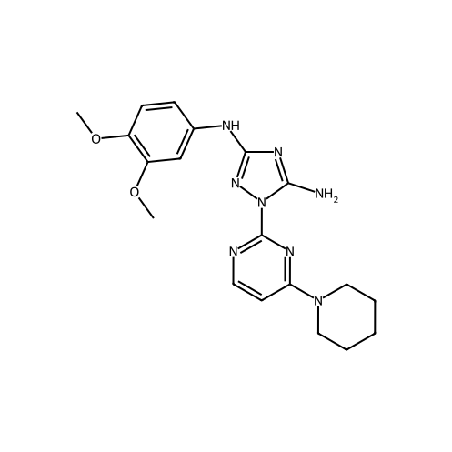 COc1ccc(Nc2nc(N)n(-c3nccc(N4CCCCC4)n3)n2)cc1OC